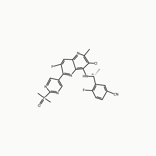 Cc1nc2cc(F)c(-c3cnc(P(C)(C)=O)nc3)nc2c(N[C@H](C)c2cc(C#N)ccc2F)c1Cl